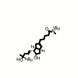 CCCC[C@](C)(O)C/C=C/[C@@H]1[C@H]2CC(CCCCC(=O)N(C)C(C)(C)C)=C[C@H]2C[C@H]1O